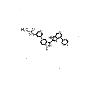 CCC(=O)Nc1cncc(-c2ccc3[nH]nc(-c4nc5c(-c6ccncc6)cncc5[nH]4)c3c2)c1